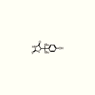 CC(C)(C)C(c1ccc(O)cc1)(C1SC(=S)NC1=O)C(C)(C)C